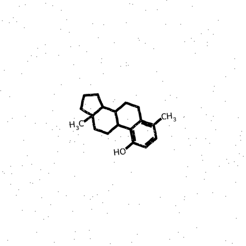 Cc1ccc(O)c2c1CCC1C2CCC2(C)CCCC12